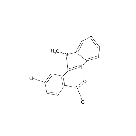 Cn1c(-c2cc(Cl)ccc2[N+](=O)[O-])nc2ccccc21